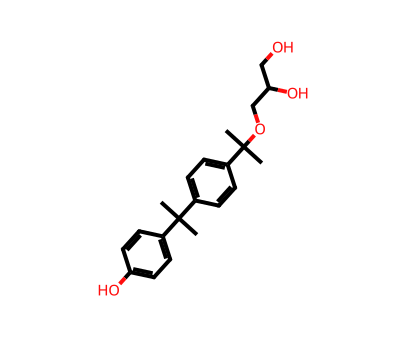 CC(C)(OCC(O)CO)c1ccc(C(C)(C)c2ccc(O)cc2)cc1